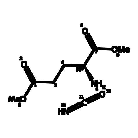 COC(=O)CC[C@H](N)C(=O)OC.N=C=O